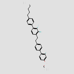 CCCCCc1ccc(-c2ccc(CCc3ccc(-c4ccc(OCC)cc4F)cc3)c(F)c2F)cc1